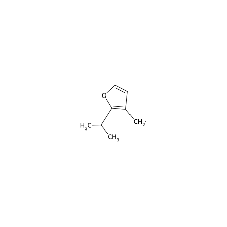 [CH2]c1ccoc1C(C)C